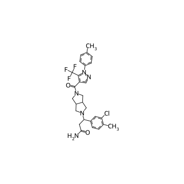 Cc1ccc(-n2ncc(C(=O)N3CC4CN(C(CC(N)=O)c5ccc(C)c(Cl)c5)CC4C3)c2C(F)(F)F)cc1